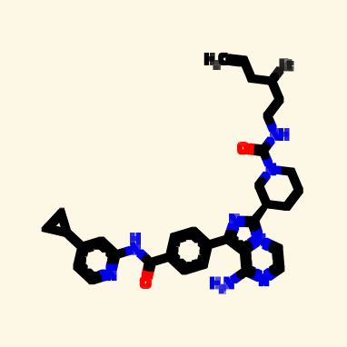 C=CCC(CC)CCNC(=O)N1CCC[C@@H](c2nc(-c3ccc(C(=O)Nc4cc(C5CC5)ccn4)cc3)c3c(N)nccn23)C1